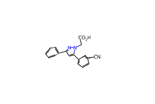 N#Cc1cccc(-c2cc(-c3ccccc3)nn2CC(=O)O)c1